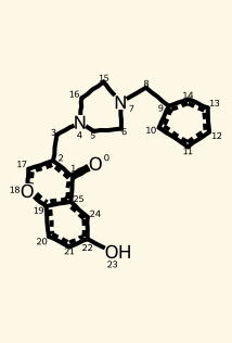 O=c1c(CN2CCN(Cc3ccccc3)CC2)coc2ccc(O)cc12